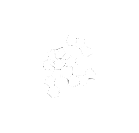 C1=Cc2c(oc3cccc(-c4nc(-c5cccc6ccccc56)nc(-c5c(-n6c7cc8ccccc8cc7c7ccc8ccccc8c76)ccc6oc7ccccc7c56)n4)c23)CC1